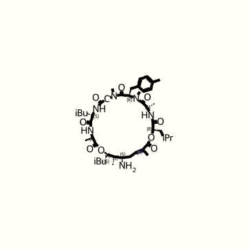 CCC(C)[C@@H]1NC(=O)CN(C)C(=O)[C@@H](Cc2ccc(C)cc2)N(C)C(=O)[C@H](C)NC(=O)[C@@H](CC(C)C)OC(=O)/C(C)=C/C[C@H](N)[C@H](C)[C@@H]([C@@H](C)CC)OC(=O)[C@@H](C)NC1=O